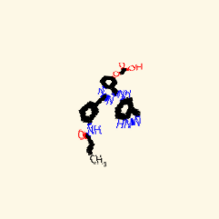 CCCC(=O)Nc1cccc(-c2nc(Nc3ccc4[nH]ncc4c3)c3cc(OCC(=O)O)ccc3n2)c1